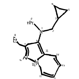 CCCN(CC1CC1)c1c(CC)nn2ccccc12